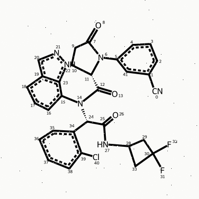 N#Cc1cccc(N2C(=O)CC[C@H]2C(=O)N(c2cccc3cn[nH]c23)[C@H](C(=O)NC2CC(F)(F)C2)c2ccccc2Cl)c1